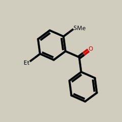 CCc1ccc(SC)c(C(=O)c2ccccc2)c1